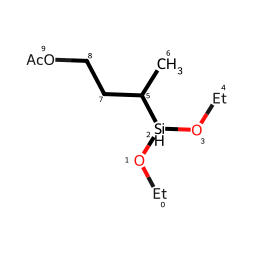 CCO[SiH](OCC)C(C)CCOC(C)=O